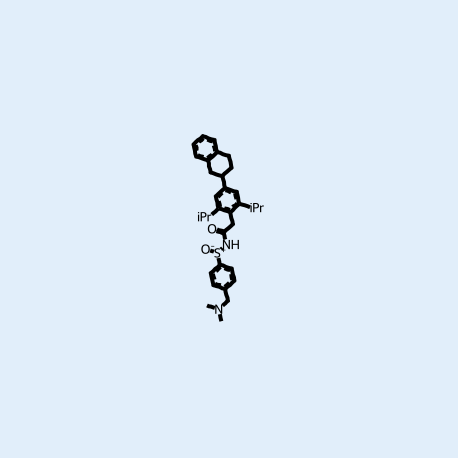 CC(C)c1cc(C2CCc3ccccc3C2)cc(C(C)C)c1CC(=O)N[S+]([O-])c1ccc(CN(C)C)cc1